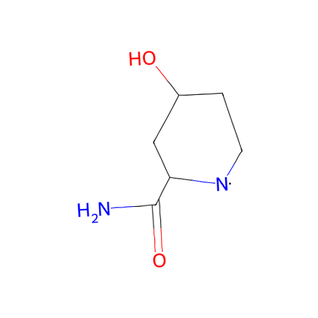 NC(=O)C1CC(O)CC[N]1